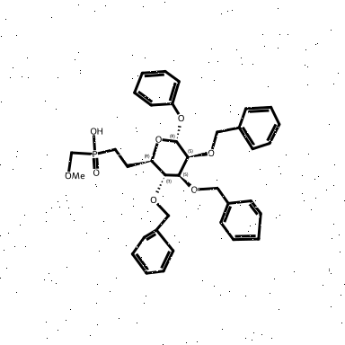 COCP(=O)(O)CC[C@H]1O[C@H](Oc2ccccc2)[C@@H](OCc2ccccc2)[C@@H](OCc2ccccc2)[C@@H]1OCc1ccccc1